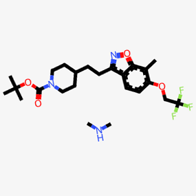 CNC.Cc1c(OCC(F)(F)F)ccc2c(CCC3CCN(C(=O)OC(C)(C)C)CC3)noc12